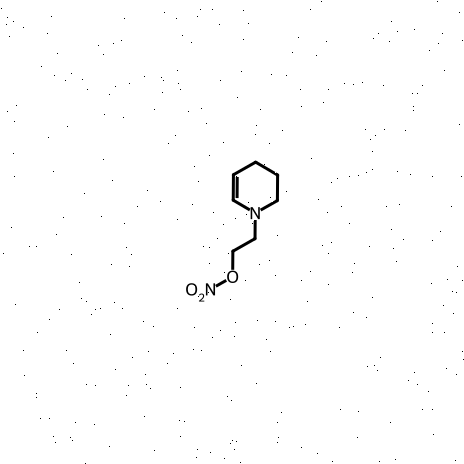 O=[N+]([O-])OCCN1C=CCCC1